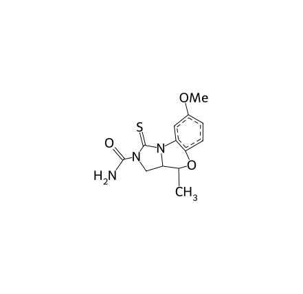 COc1ccc2c(c1)N1C(=S)N(C(N)=O)CC1C(C)O2